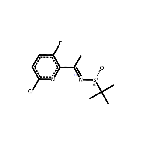 C/C(=N\[S@+]([O-])C(C)(C)C)c1nc(Cl)ccc1F